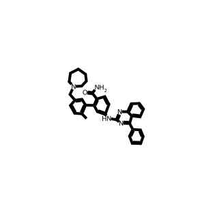 Cc1ccc(CN2CCCCCC2)cc1-c1cc(Nc2nc(-c3ccccc3)c3ccccc3n2)ccc1C(N)=O